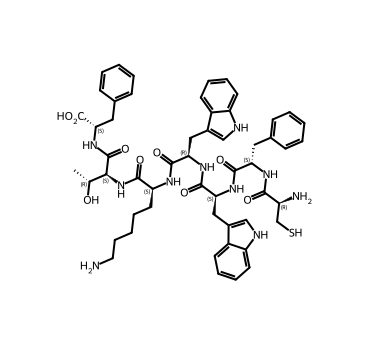 C[C@@H](O)[C@H](NC(=O)[C@H](CCCCCN)NC(=O)[C@@H](Cc1c[nH]c2ccccc12)NC(=O)[C@H](Cc1c[nH]c2ccccc12)NC(=O)[C@H](Cc1ccccc1)NC(=O)[C@@H](N)CS)C(=O)N[C@@H](Cc1ccccc1)C(=O)O